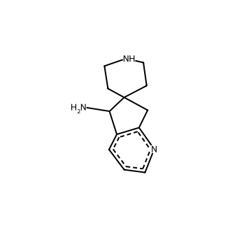 NC1c2cccnc2CC12CCNCC2